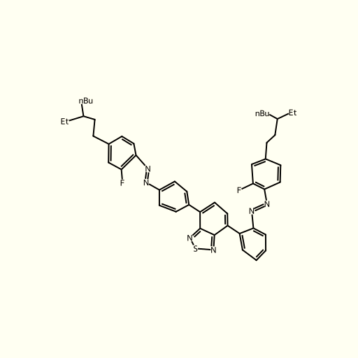 CCCCC(CC)CCc1ccc(N=Nc2ccc(-c3ccc(-c4ccccc4N=Nc4ccc(CCC(CC)CCCC)cc4F)c4nsnc34)cc2)c(F)c1